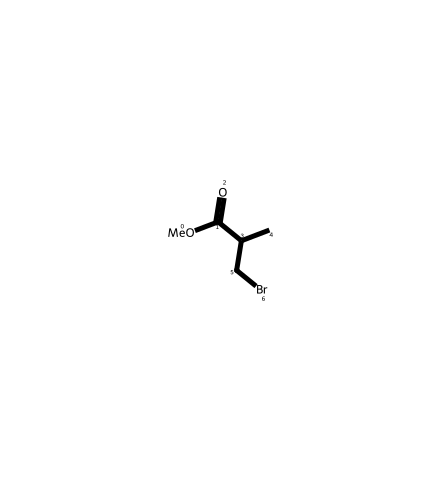 [CH2]OC(=O)C(C)CBr